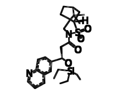 CC[Si](CC)(CC)O[C@H](CC(=O)N1CC23CCC(C[C@@H]2S1(=O)=O)C3(C)C)c1ccc2ncccc2c1